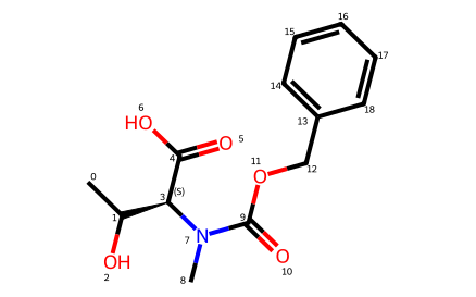 CC(O)[C@@H](C(=O)O)N(C)C(=O)OCc1ccccc1